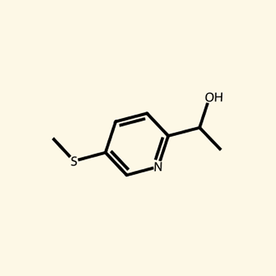 CSc1ccc(C(C)O)nc1